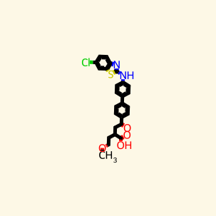 COCCC(CC(=O)c1ccc(-c2ccc(Nc3nc4ccc(Cl)cc4s3)cc2)cc1)C(=O)O